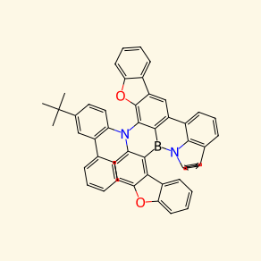 CC(C)(C)c1ccc(N2c3ccc4oc5ccccc5c4c3B3c4c(cc5c(oc6ccccc65)c42)-c2cccc4c5ccccc5n3c24)c(-c2ccccc2)c1